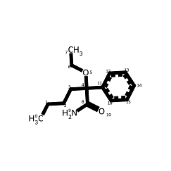 CCCCC(OCC)(C(N)=O)c1ccccc1